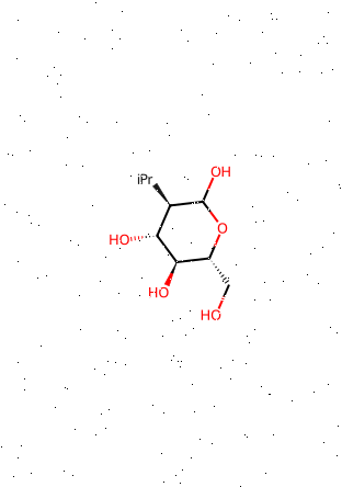 CC(C)[C@H]1C(O)O[C@H](CO)[C@@H](O)[C@@H]1O